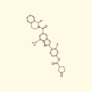 C[C@@H]1c2ccccc2CCN1C(=O)c1cc(C2CC2)n2nc(-c3ccc(OC(=O)C4CCNC4)cc3F)cc2c1